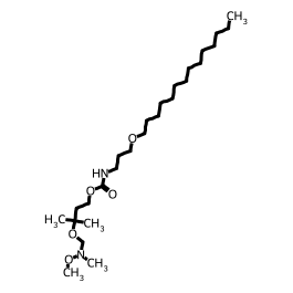 CCCCCCCCCCCCCCOCCCNC(=O)OCCC(C)(C)OCN(C)OC